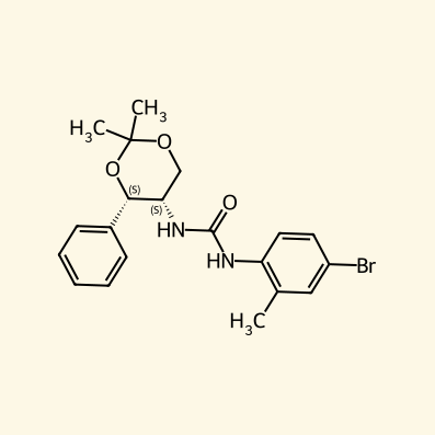 Cc1cc(Br)ccc1NC(=O)N[C@H]1COC(C)(C)O[C@H]1c1ccccc1